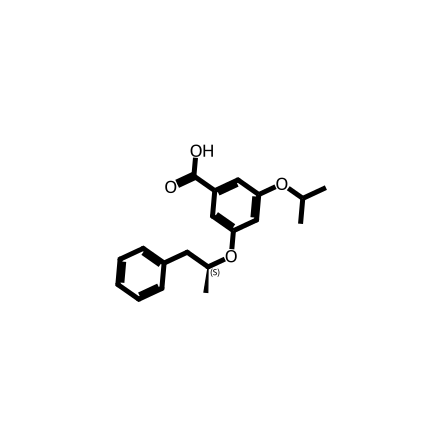 CC(C)Oc1cc(O[C@@H](C)Cc2ccccc2)cc(C(=O)O)c1